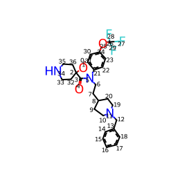 COC1(C(=O)N(CCC2CCN(Cc3ccccc3)CC2)c2ccc(OC(F)(F)F)cc2)CCNCC1